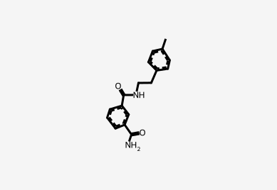 Cc1ccc(CCNC(=O)c2cccc(C(N)=O)c2)cc1